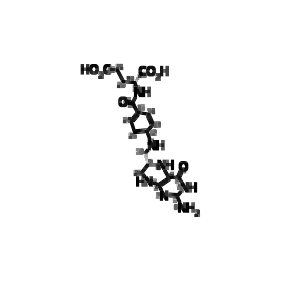 Nc1nc2c(c(=O)[nH]1)N[C@@H](CNc1ccc(C(=O)N[C@H](CCC(=O)O)C(=O)O)cc1)CN2